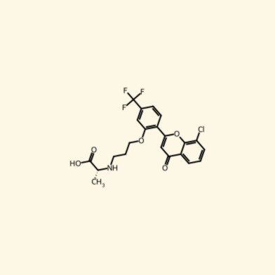 C[C@@H](NCCCOc1cc(C(F)(F)F)ccc1-c1cc(=O)c2cccc(Cl)c2o1)C(=O)O